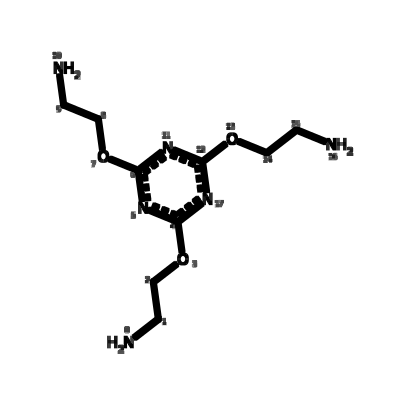 NCCOc1nc(OCCN)nc(OCCN)n1